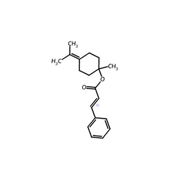 CC(C)=C1CCC(C)(OC(=O)/C=C/c2ccccc2)CC1